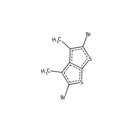 Cc1c(Br)sc2sc(Br)c(C)c12